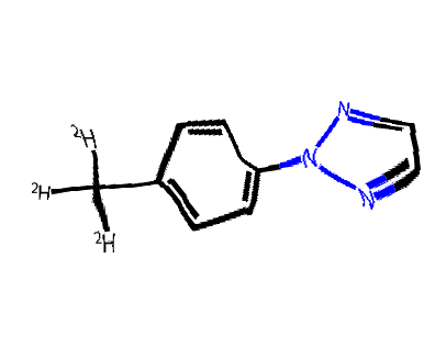 [2H]C([2H])([2H])c1ccc(-n2nccn2)cc1